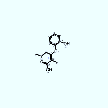 CCC/C(Oc1ccccc1O)=C(/C)C(=O)O